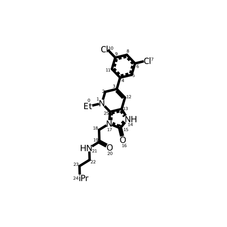 CCN1CC(c2cc(Cl)cc(Cl)c2)=Cc2[nH]c(=O)n(CC(=O)NCCC(C)C)c21